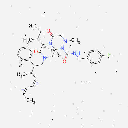 C=C(/C=C\C=C/C)C(CN1C[C@H]2N(C(=O)CN(C)N2C(=O)NCc2ccc(F)cc2)[C@@H](C(C)CC)C1=O)c1ccccc1